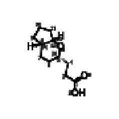 O=C(O)CC[C@@H]1CC[C@@H]2CCC[C@@H]2O1